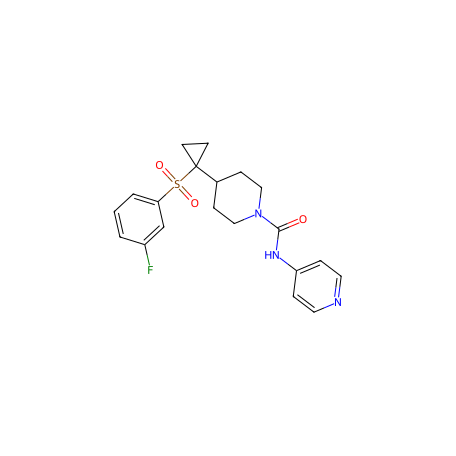 O=C(Nc1ccncc1)N1CCC(C2(S(=O)(=O)c3cccc(F)c3)CC2)CC1